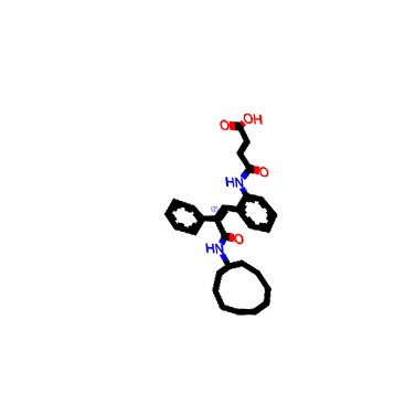 O=C(O)CCC(=O)Nc1ccccc1/C=C(\C(=O)NC1CCCCCCCCC1)c1ccccc1